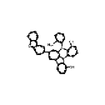 Cc1ccccc1N1c2cc(-c3ccc4oc5ccccc5c4c3)cc3c2B(c2cccc(C)c21)c1c(C)cccc1-3